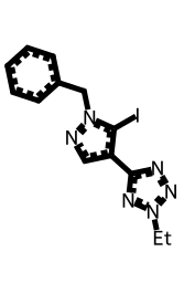 CCn1nnc(-c2cnn(Cc3ccccc3)c2I)n1